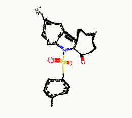 Cc1ccc(S(=O)(=O)n2c3c(c4cc(C#N)ccc42)CCCC3=O)cc1